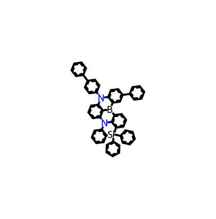 c1ccc(-c2ccc(N3c4ccc(-c5ccccc5)cc4B4c5cccc6c5N(c5ccccc5[Si]6(c5ccccc5)c5ccccc5)c5cccc3c54)cc2)cc1